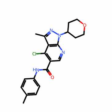 Cc1ccc(NC(=O)c2cnc3c(c(C)nn3C3CCOCC3)c2Cl)cc1